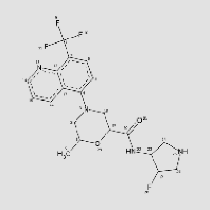 CC1CN(c2ccc(C(F)(F)F)c3ncccc23)CC(C(=O)NC2CNCC2F)O1